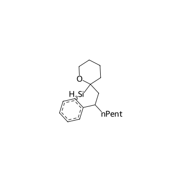 CCCCCC(CC1([SiH3])CCCCO1)c1ccccc1